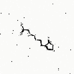 O=C(O)CSCCCCC1=CCCC1=O